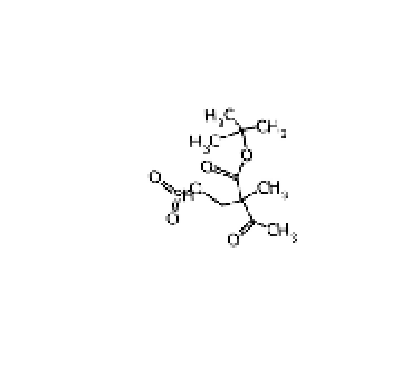 CC(=O)C(C)(CO[SH](=O)=O)C(=O)OC(C)(C)C